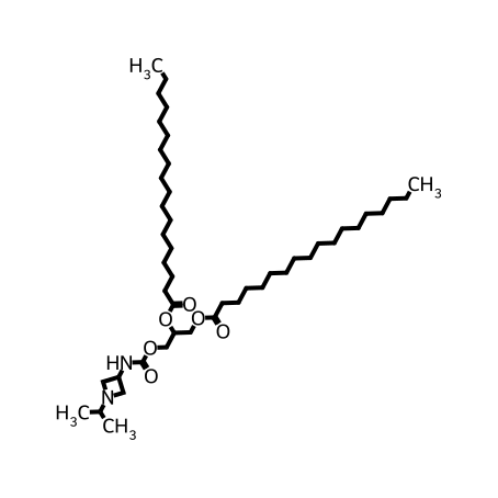 CCCCCCCCCCCCCCCCCC(=O)OCC(COC(=O)NC1CN(C(C)C)C1)OC(=O)CCCCCCCCCCCCCCCCC